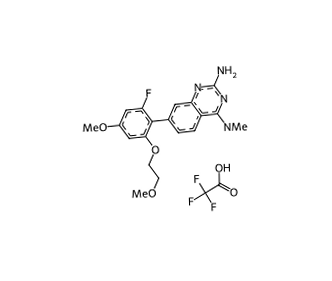 CNc1nc(N)nc2cc(-c3c(F)cc(OC)cc3OCCOC)ccc12.O=C(O)C(F)(F)F